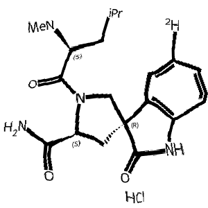 Cl.[2H]c1ccc2c(c1)[C@@]1(C[C@@H](C(N)=O)N(C(=O)[C@H](CC(C)C)NC)C1)C(=O)N2